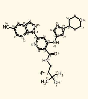 CC(C)(O)[C@H](F)CNC(=O)c1cnc(-n2ncc3cc(C#N)cnc32)cc1Nc1cnn(C2CCOCC2)c1